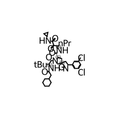 CCC[C@H](NC(=O)[C@@H]1C[C@]2(CC(c3cc(Cl)cc(Cl)c3)=NO2)CN1C(=O)[C@@H](NC(=O)CC1CCCCC1)C(C)(C)C)C(=O)C(=O)NC1CC1